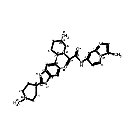 Cc1cnc2cc(NC(=O)C(=O)N3C[C@@H](C)CC[C@@H]3c3ccc4sc(C5CCN(C)CC5)nc4c3)ccn12